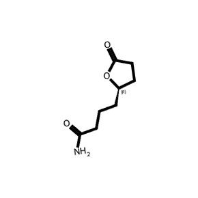 NC(=O)CCC[C@@H]1CCC(=O)O1